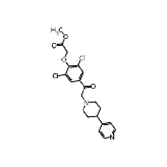 COC(=O)COc1c(Cl)cc(C(=O)CN2CCC(c3ccncc3)CC2)cc1Cl